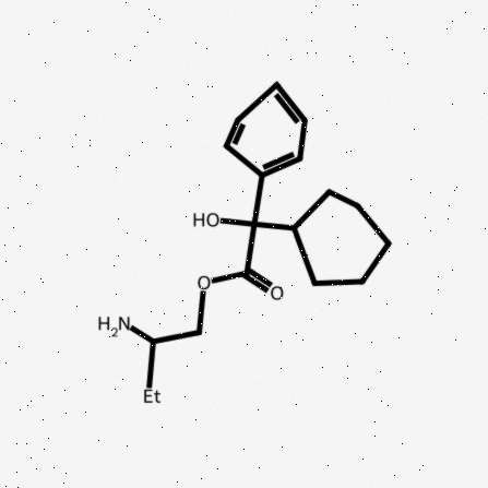 CCC(N)COC(=O)C(O)(c1ccccc1)C1CCCCC1